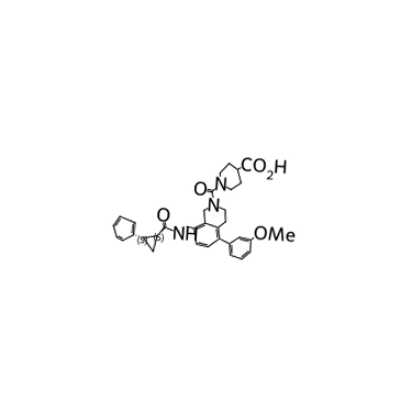 COc1cccc(-c2ccc(CNC(=O)[C@H]3C[C@@H]3c3ccccc3)c3c2CCN(C(=O)N2CCC(C(=O)O)CC2)C3)c1